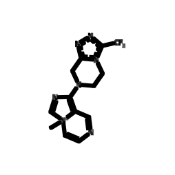 C[N+]12C=CN=CC1=C(N1CCn3c(nnc3C(F)(F)F)C1)N=C2